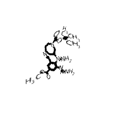 COC(=O)c1cc(C#N)c(N(N)C2CCCCN(C(=O)OC(C)(C)C)C2)c(N=NN)c1